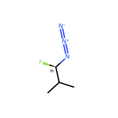 CC(C)[C@@H](F)N=[N+]=[N-]